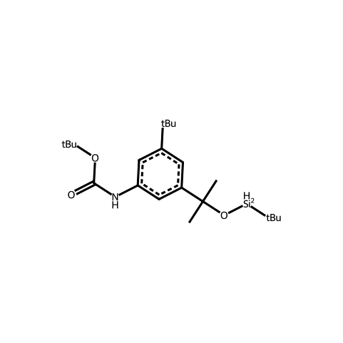 CC(C)(C)OC(=O)Nc1cc(C(C)(C)C)cc(C(C)(C)O[SiH2]C(C)(C)C)c1